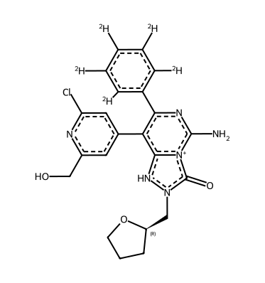 [2H]c1c([2H])c([2H])c(-c2nc(N)[n+]3c(=O)n(C[C@H]4CCCO4)[nH]c3c2-c2cc(Cl)nc(CO)c2)c([2H])c1[2H]